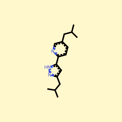 CC(C)Cc1ccc(-c2cc(CC(C)C)n[nH]2)nc1